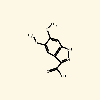 COc1cc2[nH]nc(C(=O)O)c2cc1OC